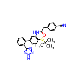 CC(C)(C)Sc1ccc(-c2ccccc2-c2nn[nH]n2)cc1NC(=O)Cc1ccc(C#N)cc1